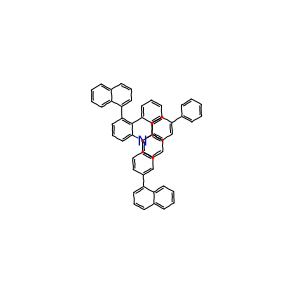 c1ccc(-c2ccc(N(c3ccc(-c4cccc5ccccc45)cc3)c3cccc(-c4cccc5ccccc45)c3-c3ccccc3-c3ccccc3)cc2)cc1